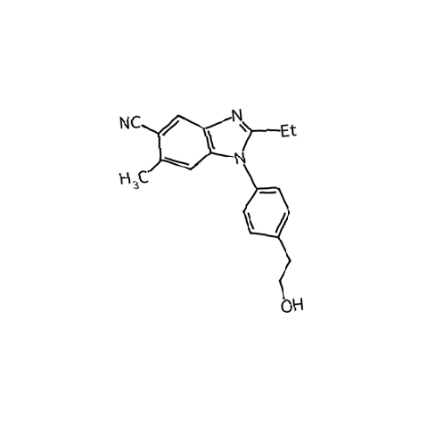 CCc1nc2cc(C#N)c(C)cc2n1-c1ccc(CCO)cc1